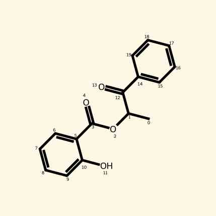 CC(OC(=O)c1ccccc1O)C(=O)c1ccccc1